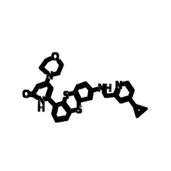 O=c1cc(N2CCOCC2)cc(-c2cccc3c2Sc2ccc(NCc4cc(C5CC5)ccn4)cc2S3)[nH]1